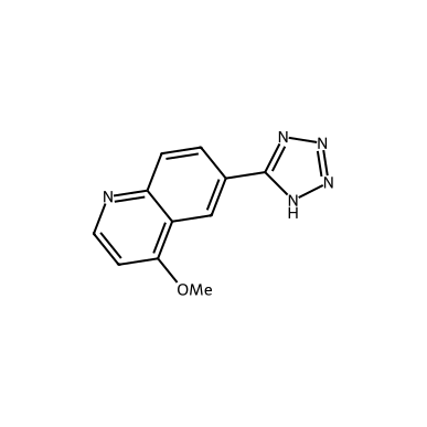 COc1ccnc2ccc(-c3nnn[nH]3)cc12